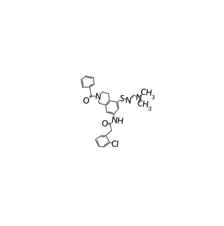 CN(C)/C=N/Sc1cc(NC(=O)Cc2ccccc2Cl)cc2c1CCN(C(=O)c1ccccc1)C2